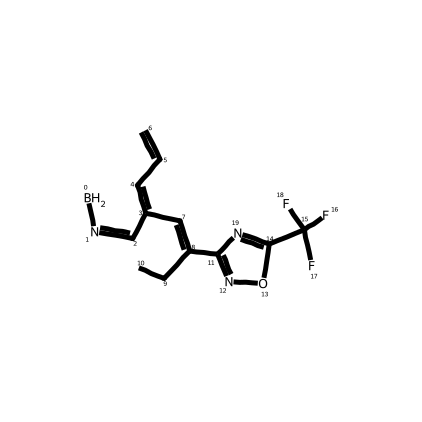 B\N=C/C(=C/C=C)/C=C(\CC)c1noc(C(F)(F)F)n1